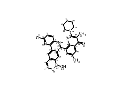 Cc1cc([C@H](C)Nc2ccc(Cl)nc2-c2ccc3c(c2)C=NOB3O)c2oc(N3CCCCC3)c(C)c(=O)c2c1